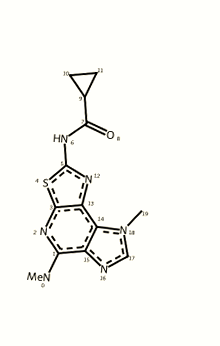 CNc1nc2sc(NC(=O)C3CC3)nc2c2c1ncn2C